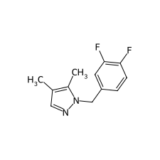 Cc1cnn(Cc2ccc(F)c(F)c2)c1C